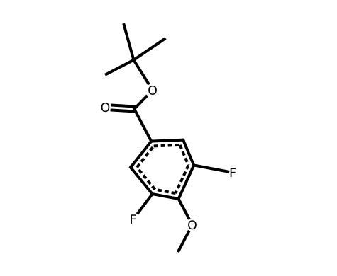 COc1c(F)cc(C(=O)OC(C)(C)C)cc1F